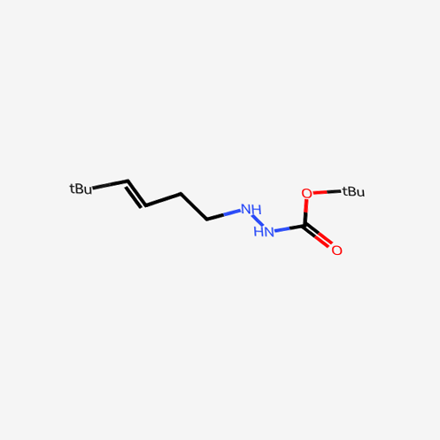 CC(C)(C)C=CCCNNC(=O)OC(C)(C)C